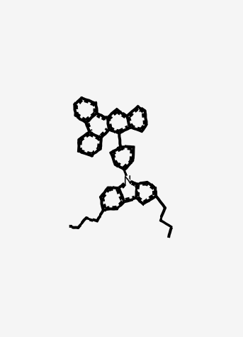 CCCCc1ccc2c(c1)c1cc(CCCC)ccc1n2-c1ccc(-c2c3ccccc3cc3c4ccccc4c4ccccc4c23)cc1